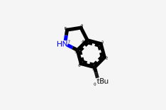 CC(C)(C)c1ccc2c(c1)NCC2